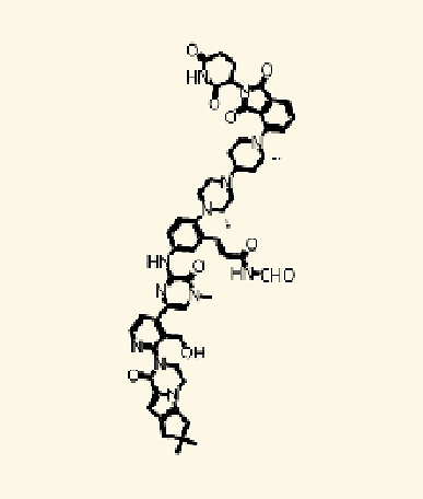 C[C@@H]1CC(N2CCN(c3ccc(Nc4nc(-c5ccnc(N6CCn7c(cc8c7CC(C)(C)C8)C6=O)c5CO)cn(C)c4=O)cc3C=CC(=O)NC=O)[C@@H](C)C2)CCN1c1cccc2c1C(=O)N(C1CCC(=O)NC1=O)C2=O